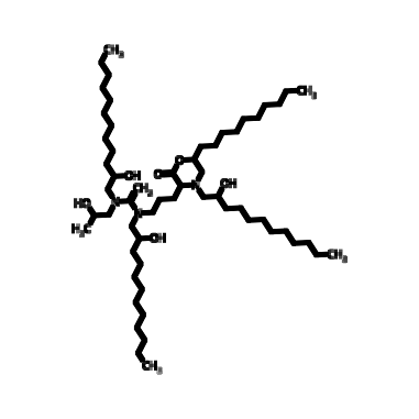 C=C(N(CCCC1C(=O)OC(CCCCCCCCCC)CN1CC(O)CCCCCCCCCC)CC(O)CCCCCCCCCC)N(CC(C)O)CC(O)CCCCCCCCCC